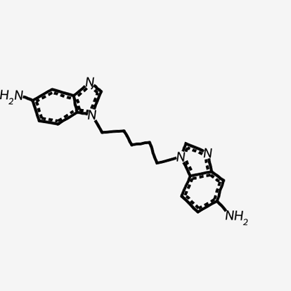 Nc1ccc2c(c1)ncn2CCCCCn1cnc2cc(N)ccc21